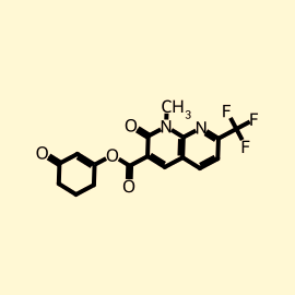 Cn1c(=O)c(C(=O)OC2=CC(=O)CCC2)cc2ccc(C(F)(F)F)nc21